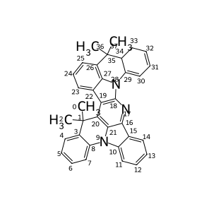 CC1(C)c2ccccc2-n2c3ccccc3c3nc4c(c1c32)c1cccc2c1n4C1=CC=CCC1C2(C)C